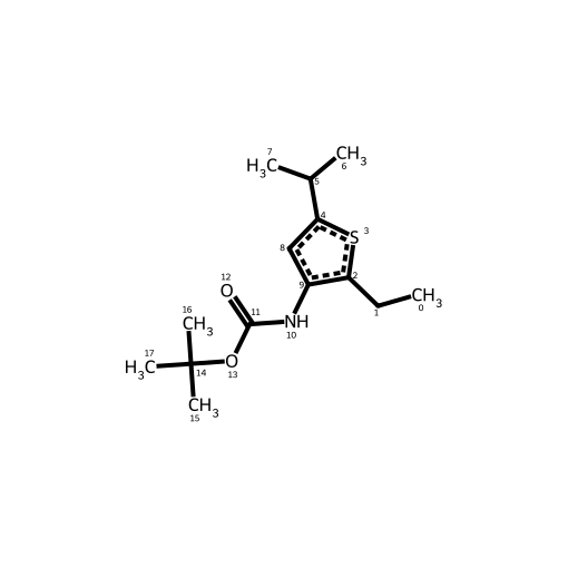 CCc1sc(C(C)C)cc1NC(=O)OC(C)(C)C